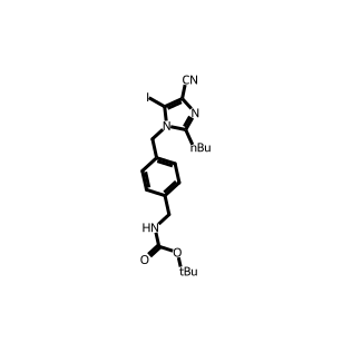 CCCCc1nc(C#N)c(I)n1Cc1ccc(CNC(=O)OC(C)(C)C)cc1